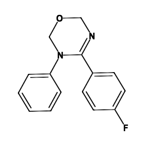 Fc1ccc(C2=NCOCN2c2ccccc2)cc1